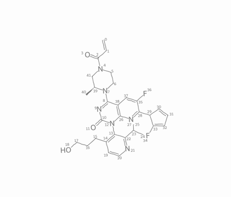 C=CC(=O)N1CCN(c2nc(=O)n(-c3c(CCCO)ccnc3C(C)C)c3nc(C4C=CC=C4F)c(F)cc23)[C@@H](C)C1